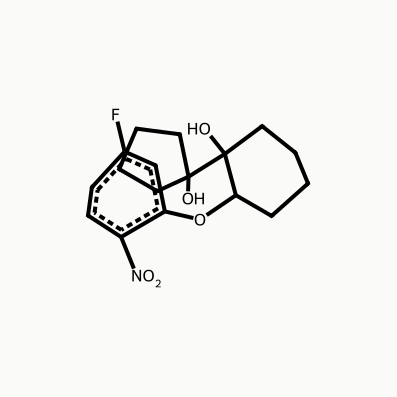 O=[N+]([O-])c1ccc(F)cc1OC1CCCCC1(O)C1(O)CCCC1